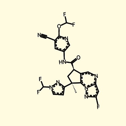 C[C@]1(c2ccn(C(F)F)n2)C[C@@H](C(=O)Nc2cnc(OC(F)F)c(C#N)c2)c2cnc3cc(F)nn3c21